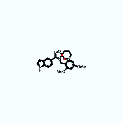 COc1ccc(CN2C(c3ccc4[nH]ccc4c3)=NOC23CN2CCC3CC2)c(OC)c1